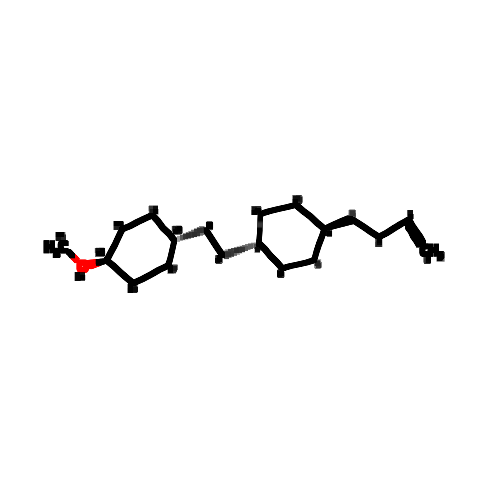 C=CCC[C@H]1CC[C@H](CC[C@H]2CC[C@H](OC)CC2)CC1